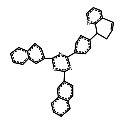 C1=Cc2cccnc2C(c2ccc(-c3nc(-c4ccc5ccccc5c4)nc(-c4ccc5ccccc5c4)n3)cc2)C1